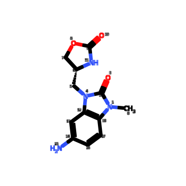 Cn1c(=O)n(C[C@@H]2COC(=O)N2)c2cc(N)ccc21